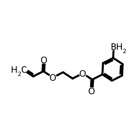 Bc1cccc(C(=O)OCCOC(=O)C=C)c1